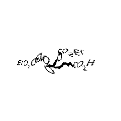 CCOC(=O)OCOC(=O)C(CCCCCC(=O)O)COC(=O)OCC